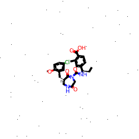 CC[C@@H](NC(=O)N1CC(=O)NC[C@H](Cc2cc(Cl)ccc2OC)C1=O)c1ccc(C(=O)O)c(C)c1